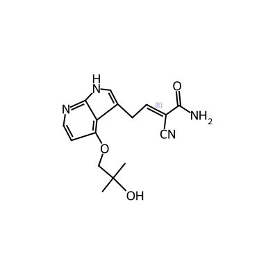 CC(C)(O)COc1ccnc2[nH]cc(C/C=C(\C#N)C(N)=O)c12